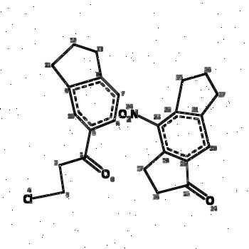 O=C(CCCl)c1ccc2c(c1)CCC2.O=C1CCc2c1cc1c(c2[N+](=O)[O-])CCC1